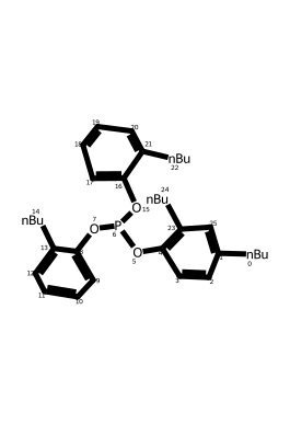 CCCCc1ccc(OP(Oc2ccccc2CCCC)Oc2ccccc2CCCC)c(CCCC)c1